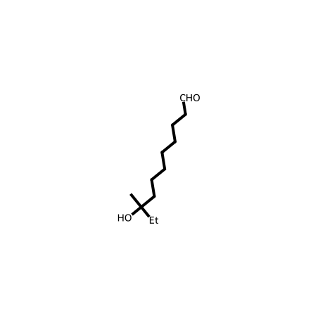 CCC(C)(O)CCCCCCCC=O